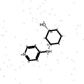 O[C@@H]1CCC[C@H](Nc2ccncc2)C1